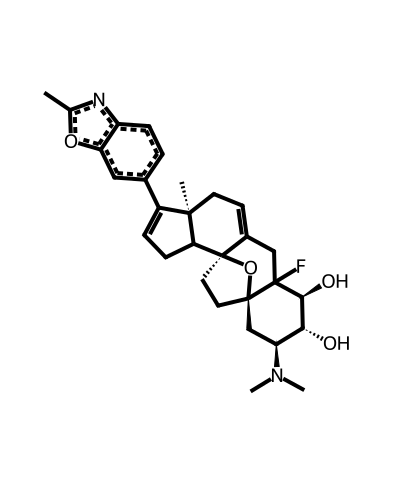 Cc1nc2ccc(C3=CCC4[C@]3(C)CC=C3CC5(F)[C@@H](O)[C@H](O)[C@@H](N(C)C)C[C@]56CC[C@@]34O6)cc2o1